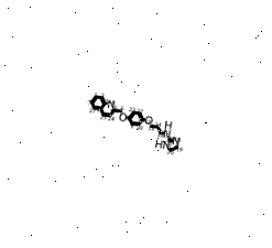 c1ccc2nc(COc3ccc(OCCCNC4=NCCN4)cc3)ccc2c1